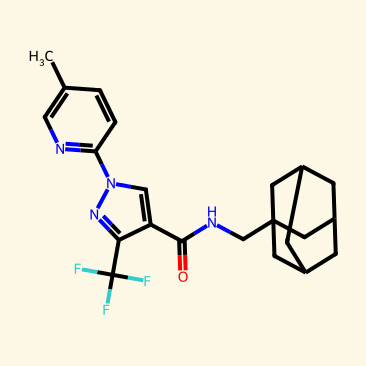 Cc1ccc(-n2cc(C(=O)NCC34CC5CC(CC(C5)C3)C4)c(C(F)(F)F)n2)nc1